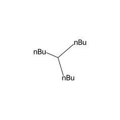 C[CH]CCC(CCCC)CCCC